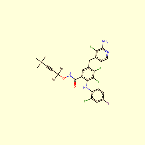 [2H]C([2H])(C#C[Si](C)(C)C)ONC(=O)c1cc(Cc2ccnc(N)c2F)c(F)c(F)c1Nc1ccc(I)cc1F